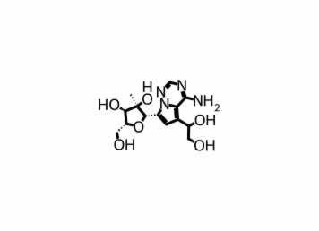 C[C@@]1(O)[C@H](O)[C@@H](CO)O[C@H]1c1cc(C(O)CO)c2c(N)ncnn12